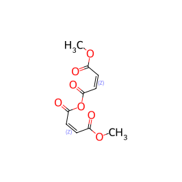 COC(=O)/C=C\C(=O)OC(=O)/C=C\C(=O)OC